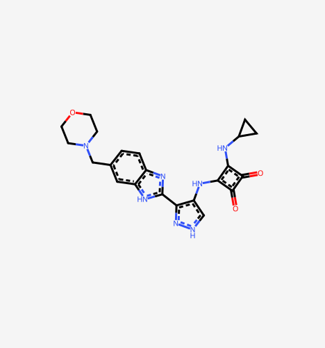 O=c1c(Nc2c[nH]nc2-c2nc3ccc(CN4CCOCC4)cc3[nH]2)c(NC2CC2)c1=O